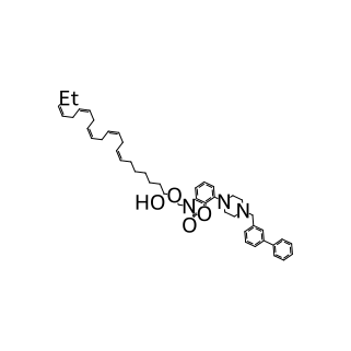 CC/C=C\C/C=C\C/C=C\C/C=C\C/C=C\CCCCCC(O)OCn1c(=O)oc2c(N3CCN(Cc4cccc(-c5ccccc5)c4)CC3)cccc21